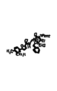 CCCCC[C@@H](C(=O)NCNC(=O)c1ccc(-c2ccc(C)c(C(=O)O)c2)o1)[C@@H](CC)N(C=O)OCc1ccccc1